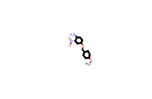 COc1ccc(COc2ccc(N)c([N+](=O)[O-])c2)cc1